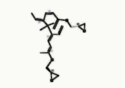 C=C/C(=C\C=C(/C)OC[C@H]1CO1)C(C)(C)C(/C=C\C(=C)OC[C@@H]1CO1)=C/C